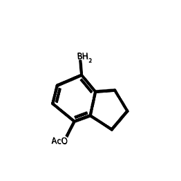 Bc1ccc(OC(C)=O)c2c1CCC2